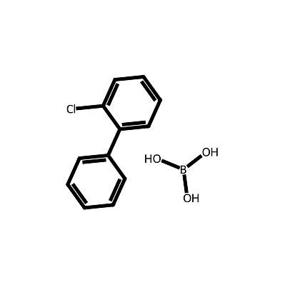 Clc1ccccc1-c1ccccc1.OB(O)O